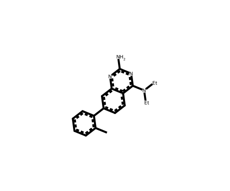 CCN(CC)c1nc(N)nc2cc(-c3ccccc3C)ccc12